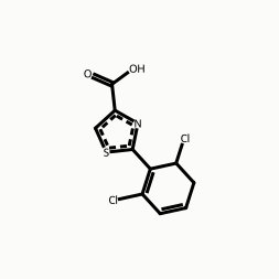 O=C(O)c1csc(C2=C(Cl)C=CCC2Cl)n1